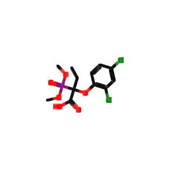 CCC(Oc1ccc(Cl)cc1Cl)(C(=O)O)P(=O)(OC)OC